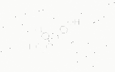 O=C(O)N(CCOc1ccc(CO)cc1)c1ccc(Cl)cc1